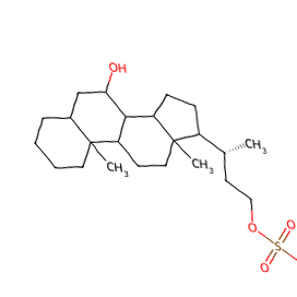 C[C@H](CCOS(=O)(=O)O)C1CCC2C3C(O)CC4CCCCC4(C)C3CCC21C